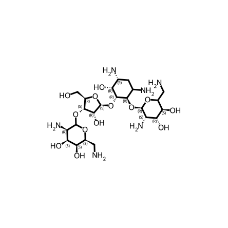 NCC1O[C@H](O[C@@H]2C(N)C[C@@H](N)[C@@H](O)[C@H]2O[C@@H]2O[C@H](CO)[C@@H](OC3O[C@@H](CN)[C@@H](O)[C@@H](O)[C@H]3N)[C@H]2O)[C@@H](N)[C@@H](O)[C@@H]1O